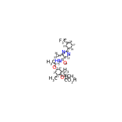 Cc1cc(OC(C)CNC(=O)c2cnc(-c3cccc(C(F)(F)F)c3)nc2C2CC2)ccc1OC(C)(C)C(=O)O